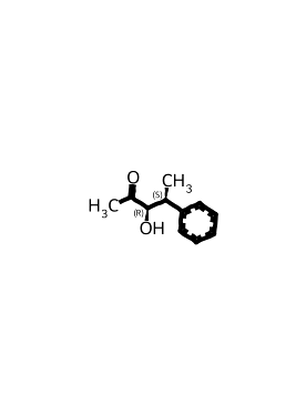 CC(=O)[C@H](O)[C@@H](C)c1ccccc1